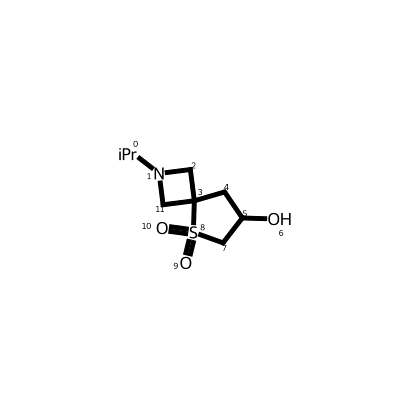 CC(C)N1CC2(CC(O)CS2(=O)=O)C1